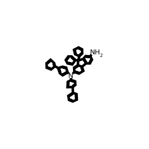 Nc1ccc2c(c1)C(c1ccccc1)(c1ccccc1)c1cc(N(c3ccc(-c4ccccc4)cc3)c3ccc(-c4ccccc4)cc3)ccc1-2